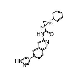 O=C(Nc1cc2cc(-c3cn[nH]c3)ccc2cn1)[C@H]1C[C@@H]1C1C=CC=CC1